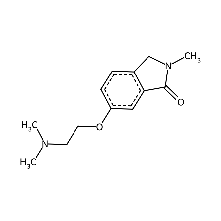 CN(C)CCOc1ccc2c(c1)C(=O)N(C)C2